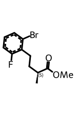 COC(=O)[C@@H](C)CCc1c(F)cccc1Br